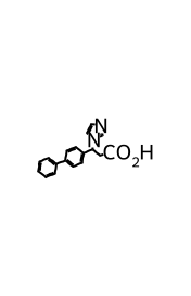 O=C(O)CC(c1ccc(-c2ccccc2)cc1)n1ccnc1